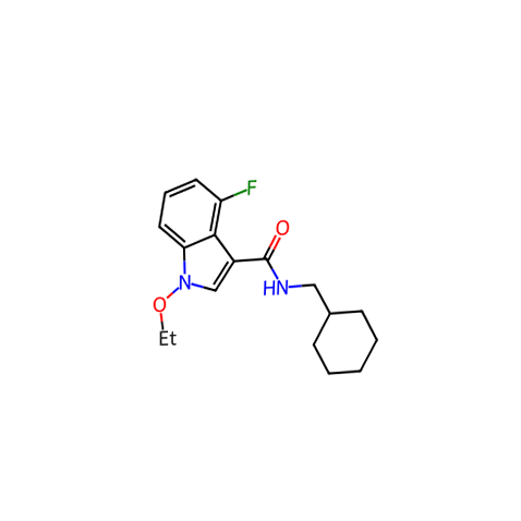 CCOn1cc(C(=O)NCC2CCCCC2)c2c(F)cccc21